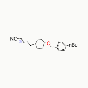 CCCCc1ccc(CO[C@H]2CC[C@H](CC/C=C/C#N)CC2)cc1